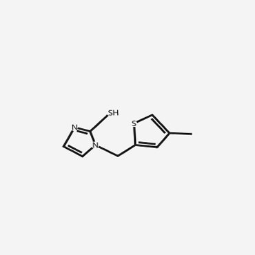 Cc1csc(Cn2ccnc2S)c1